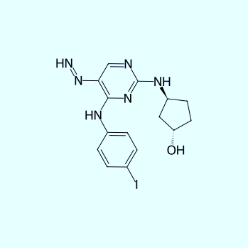 N=Nc1cnc(N[C@H]2CC[C@H](O)C2)nc1Nc1ccc(I)cc1